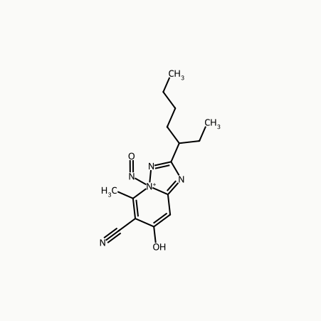 CCCCC(CC)C1=N[N+]2(N=O)C(=N1)C=C(O)C(C#N)=C2C